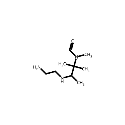 CC(NCCN)C(C)(C)N(C)C=O